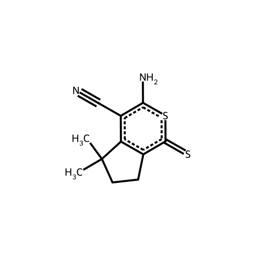 CC1(C)CCc2c1c(C#N)c(N)sc2=S